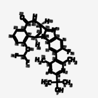 Cc1nc(C(C)(C)O)nc(C)c1-c1cc2c(cc1F)nc1n2[C@@H]2C[C@H]1NC(=O)c1cccc(OC(F)F)c12